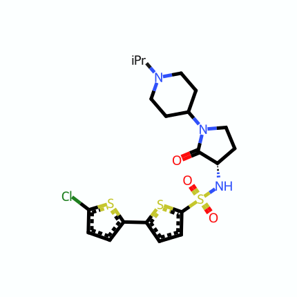 CC(C)N1CCC(N2CC[C@H](NS(=O)(=O)c3ccc(-c4ccc(Cl)s4)s3)C2=O)CC1